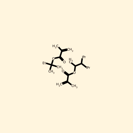 C=C(C)C(=O)OC(C)(C)CC.C=C(C)C(=O)OC(C)C(C(C)C)C(C)C